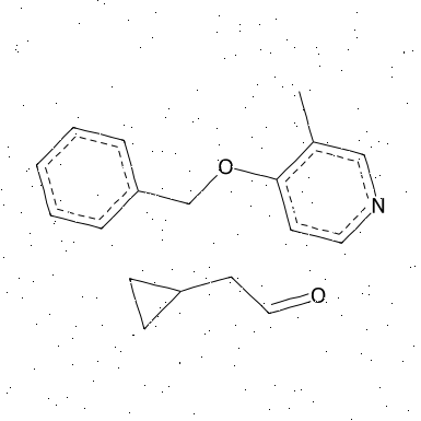 Cc1cnccc1OCc1ccccc1.O=CCC1CC1